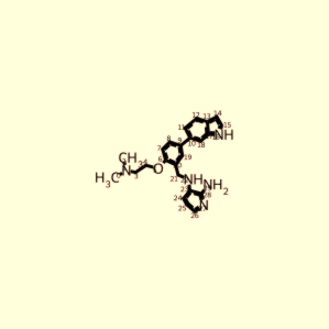 CN(C)CCOc1ccc(-c2ccc3cc[nH]c3c2)cc1CNc1cccnc1N